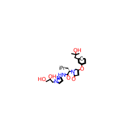 CC(C)C[C@@H](C(=O)Nc1ccn(C[C@@H](O)CO)n1)N1CC(Oc2cccc(CC(C)(C)O)c2)=CC1=O